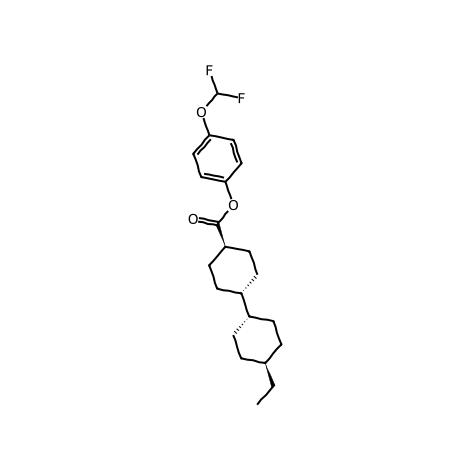 CC[C@H]1CC[C@H]([C@H]2CC[C@H](C(=O)Oc3ccc(OC(F)F)cc3)CC2)CC1